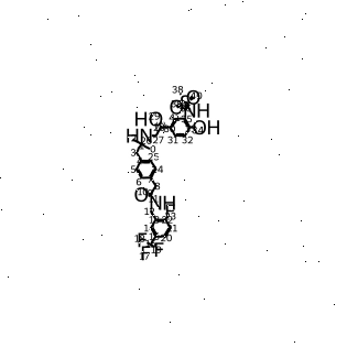 CC(C)(Cc1ccc(CC(=O)NCc2cc(C(F)(F)F)ccc2F)cc1)NC[C@@H](O)c1ccc(O)c(NS(C)(=O)=O)c1